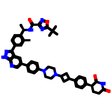 Cc1cc(-c2n[nH]c3ncc(-c4ccc(N5CCN(C6CC(c7ccc([C@@H]8CCC(=O)NC8=O)cc7)C6)CC5)cc4)cc23)ccc1[C@@H](C)NC(=O)c1noc(C(C)(C)C)n1